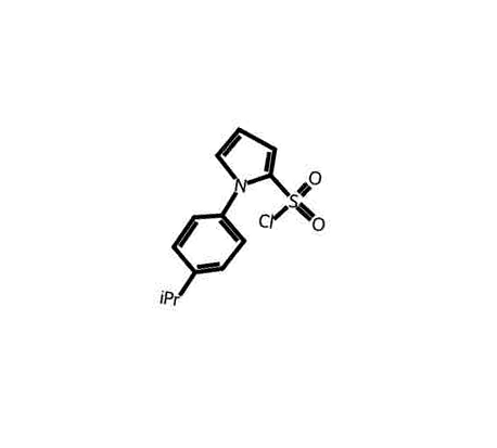 CC(C)c1ccc(-n2cccc2S(=O)(=O)Cl)cc1